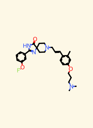 Cc1cc(OCCCN(C)C)ccc1/C=C/CN1CCC2(CC1)N=C(c1cccc(OF)c1)NC2=O